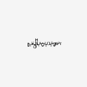 CCCOCCOCCOCCNC(=O)CBr